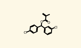 C=C(C)C(=O)OC(c1ccc(Cl)cc1)c1cccc(Cl)c1